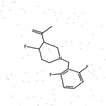 C=C(C)C1CN(Cc2c(F)cccc2F)CCC1F